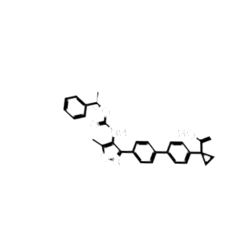 C=C(O)C1(c2ccc(-c3ccc(-c4noc(C)c4NC(=O)O[C@H](C)c4ccccc4)cc3)cc2)CC1